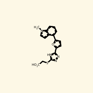 Cn1ccc2c(-c3ccc(-c4nnc(SCC(=O)O)[nH]4)o3)cccc21